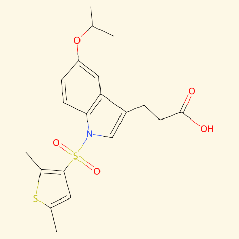 Cc1cc(S(=O)(=O)n2cc(CCC(=O)O)c3cc(OC(C)C)ccc32)c(C)s1